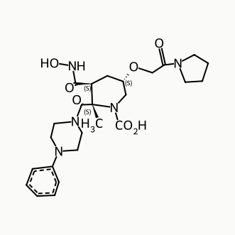 C[C@@]1(C(=O)N2CCN(c3ccccc3)CC2)[C@@H](C(=O)NO)C[C@H](OCC(=O)N2CCCC2)CN1C(=O)O